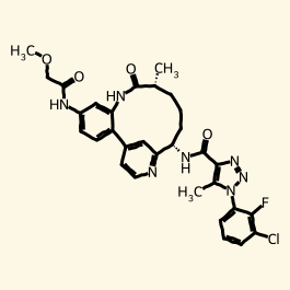 COCC(=O)Nc1ccc2c(c1)NC(=O)[C@H](C)CCC[C@H](NC(=O)c1nnn(-c3cccc(Cl)c3F)c1C)c1cc-2ccn1